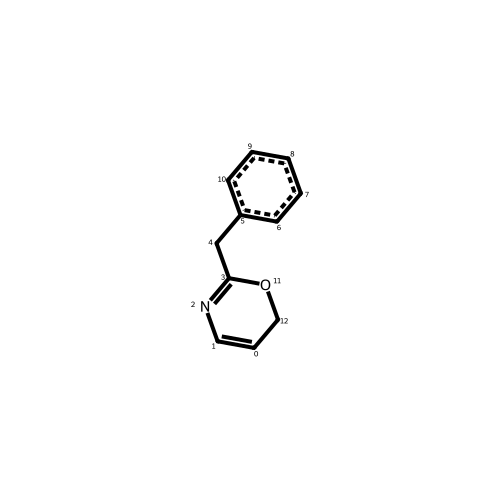 C1=CN=C(Cc2ccccc2)OC1